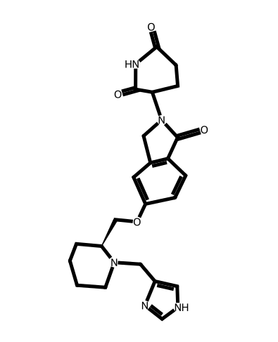 O=C1CCC(N2Cc3cc(OC[C@@H]4CCCCN4Cc4c[nH]cn4)ccc3C2=O)C(=O)N1